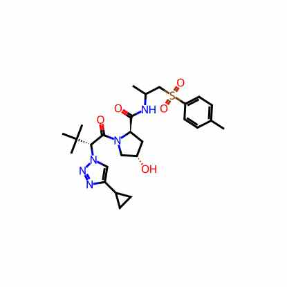 Cc1ccc(S(=O)(=O)CC(C)NC(=O)[C@H]2C[C@H](O)CN2C(=O)[C@H](n2cc(C3CC3)nn2)C(C)(C)C)cc1